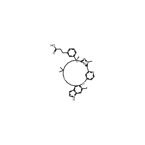 Cn1nc2nc1-c1cc(ccn1)Sc1c(F)cc3[nH]ccc3c1CCSCC(C)(C)CCC[C@]2(C)c1cccc(CCC(=O)O)c1